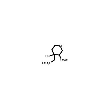 CCOC(=O)CC1(O)CCNCC1OC